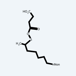 CCCCCCCCCCCCCCC(C)SOC(=O)CCC(=O)O